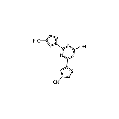 [C-]#[N+]c1csc(-c2cc(O)nc(-c3nc(C(F)(F)F)cs3)n2)c1